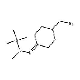 CC(=O)CC1CCC(=NN(C)[Si](C)(C)C)CC1